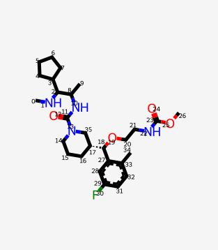 CNC(C1CCCC1)C(C)NC(=O)N1CCC[C@@H](C(OCCNC(=O)OC)c2cc(F)ccc2C)C1